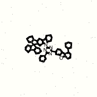 c1ccc(-c2nc(-c3ccc4c(c3)oc3cccc(-c5ccccc5)c34)nc(-n3c4ccccc4c4cc5c(cc43)C3(c4ccccc4-c4ccccc43)c3ccccc3-5)n2)cc1